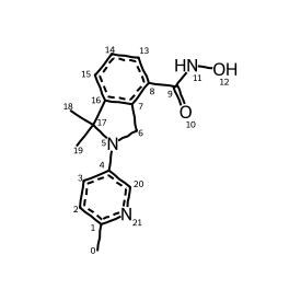 Cc1ccc(N2Cc3c(C(=O)NO)cccc3C2(C)C)cn1